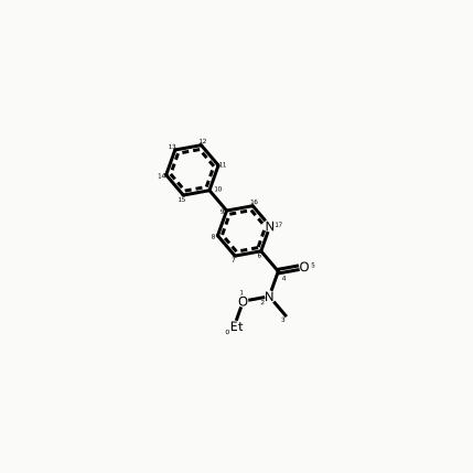 CCON(C)C(=O)c1ccc(-c2ccccc2)cn1